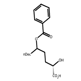 CCCCCCCCCCC(CC[C@H](O)C(=O)O)OC(=O)c1ccccc1